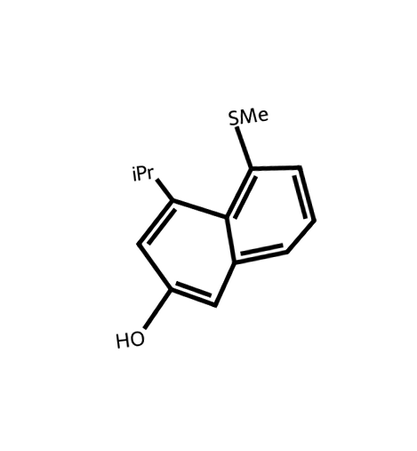 CSc1cccc2cc(O)cc(C(C)C)c12